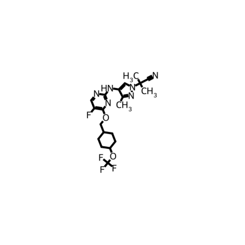 Cc1nn(C(C)(C)C#N)cc1Nc1ncc(F)c(OCC2CCC(OC(F)(F)F)CC2)n1